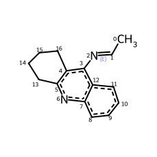 C/C=N/c1c2c(nc3ccccc13)CCCC2